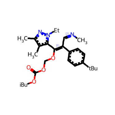 CCC(C)OC(=O)OCO/C(=C(/C=N\C)c1ccc(C(C)(C)C)cc1)c1c(C)c(C)nn1CC